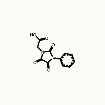 O=C(O)CN1C(=O)C(=O)N(c2ccccc2)C1=O